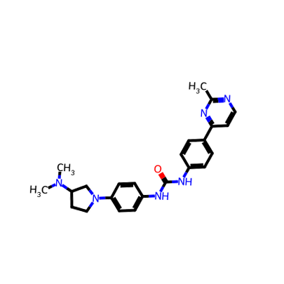 Cc1nccc(-c2ccc(NC(=O)Nc3ccc(N4CCC(N(C)C)C4)cc3)cc2)n1